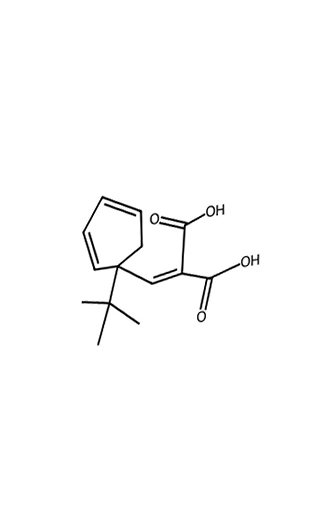 CC(C)(C)C1(C=C(C(=O)O)C(=O)O)C=CC=CC1